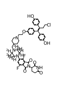 [2H]C1([2H])N(CC2CCN(CCOc3ccc(C(=C(CCCl)c4ccc(O)cc4)c4ccc(O)cc4)cc3)CC2)C([2H])([2H])C([2H])([2H])N(c2cc(F)c3c(c2F)C(=O)N(C2CCC(=O)NC2=O)C3=O)C1([2H])[2H]